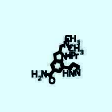 CC(C)N1c2c(cc(C(N)=O)cc2-c2ccn[nH]2)CC1CN(C)C